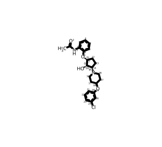 CC(=O)Nc1ccccc1O[C@H]1CC[C@@H](N2CCC(Oc3cccc(Cl)c3)CC2)[C@@H]1O